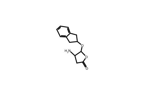 NC1CC(=O)OC1OC1Cc2ccccc2C1